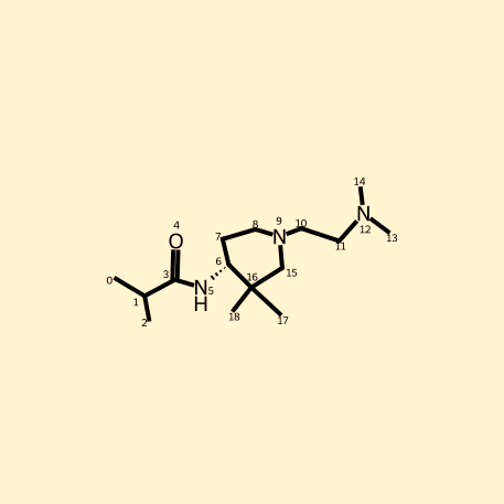 CC(C)C(=O)N[C@@H]1CCN(CCN(C)C)CC1(C)C